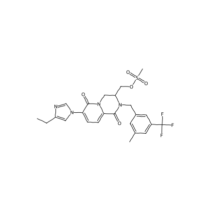 CCc1cn(-c2ccc3n(c2=O)CC(COS(C)(=O)=O)N(Cc2cc(C)cc(C(F)(F)F)c2)C3=O)cn1